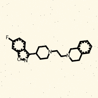 Fc1ccc2c(C3CCN(CCN4CCc5ccccc5C4)CC3)noc2c1